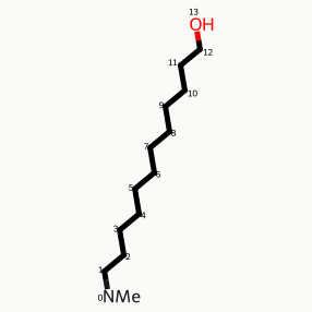 CNCCCCCCCCCCCCO